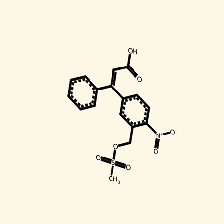 CS(=O)(=O)OCc1cc(/C(=C\C(=O)O)c2ccccc2)ccc1[N+](=O)[O-]